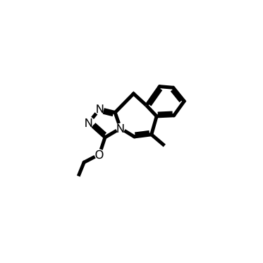 CCOc1nnc2n1C=C(C)c1ccccc1C2